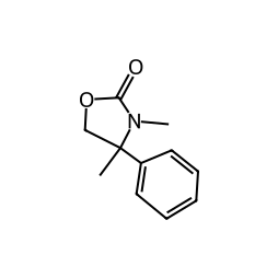 CN1C(=O)OCC1(C)c1ccccc1